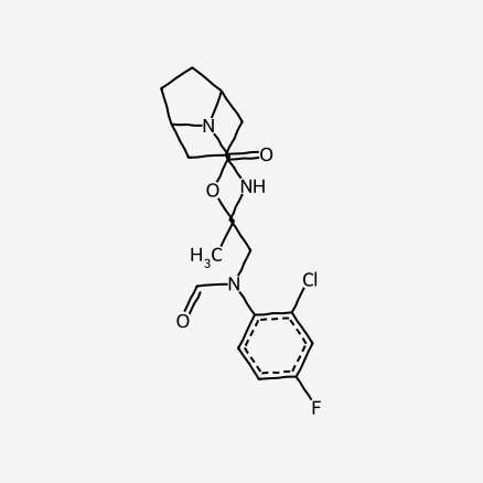 CCOC(=O)N1C2CCC1CC(NCCN(C=O)c1ccc(F)cc1Cl)C2